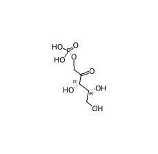 O=C(COP(=O)(O)O)[C@@H](O)[C@H](O)CO